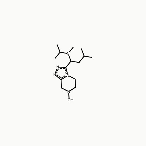 CC(C)CC(c1nnc2n1CCN(O)C2)N(C)C(C)C